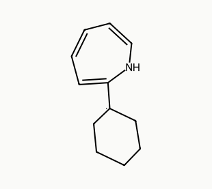 C1=CC=C([C]2CCCCC2)NC=C1